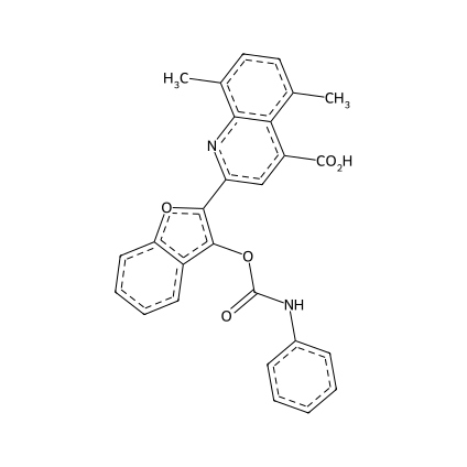 Cc1ccc(C)c2c(C(=O)O)cc(-c3oc4ccccc4c3OC(=O)Nc3ccccc3)nc12